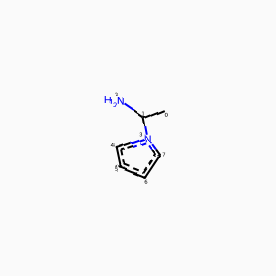 CC(N)n1c[c]cc1